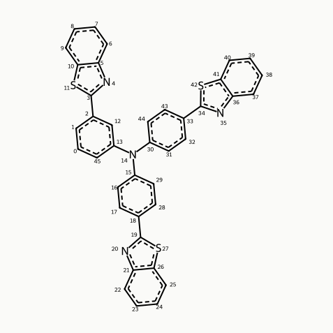 c1cc(-c2nc3ccccc3s2)cc(N(c2ccc(-c3nc4ccccc4s3)cc2)c2ccc(-c3nc4ccccc4s3)cc2)c1